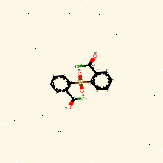 O=C(Cl)c1ccccc1S(=O)(=O)c1ccccc1C(=O)Cl